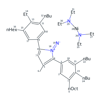 CCCCCCCCc1cc(C2=C(C)C=C(c3cc(CCCC)c(CC)c(CCCCCC)c3)[N+]2=[N-])cc(CCCC)c1CCCC.CC[N](CC)[Ni][N](CC)CC